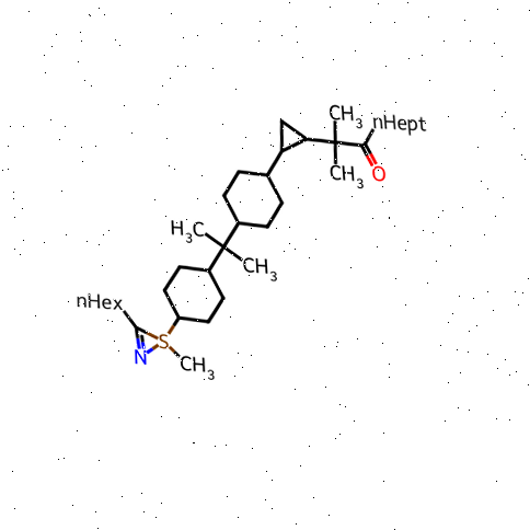 CCCCCCCC(=O)C(C)(C)C1CC1C1CCC(C(C)(C)C2CCC(S3(C)N=C3CCCCCC)CC2)CC1